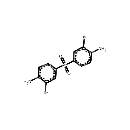 Nc1ccc(S(=O)(=O)c2ccc(N)c(Br)c2)cc1Br